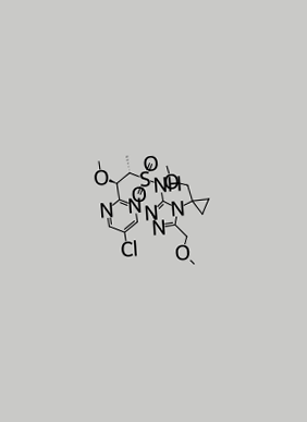 COCc1nnc(NS(=O)(=O)[C@@H](C)[C@H](OC)c2ncc(Cl)cn2)n1C1(COC)CC1